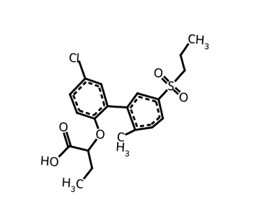 CCCS(=O)(=O)c1ccc(C)c(-c2cc(Cl)ccc2OC(CC)C(=O)O)c1